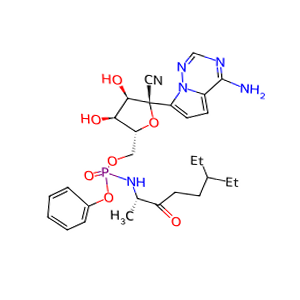 CCC(CC)CCC(=O)[C@H](C)NP(=O)(OC[C@H]1O[C@@](C#N)(c2ccc3c(N)ncnn23)[C@H](O)[C@@H]1O)Oc1ccccc1